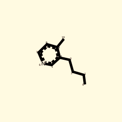 CCCCc1cnccc1C